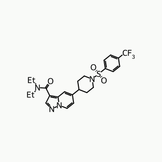 CCN(CC)C(=O)c1cnn2ccc(C3CCN(S(=O)(=O)c4ccc(C(F)(F)F)cc4)CC3)cc12